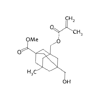 C=C(C)C(=O)OCC12CC3(C)CC(CO)(C1)CC(C(=O)OC)(C3)C2